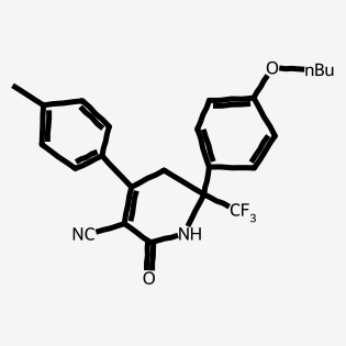 CCCCOc1ccc(C2(C(F)(F)F)CC(c3ccc(C)cc3)=C(C#N)C(=O)N2)cc1